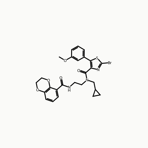 COc1cccc(-c2sc(Br)nc2C(=O)N(CCNC(=O)c2cccc3c2OCCO3)CC2CC2)c1